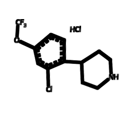 Cl.FC(F)(F)Oc1ccc(C2CCNCC2)c(Cl)c1